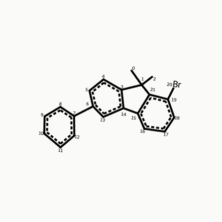 CC1(C)c2ccc(-c3ccccc3)cc2-c2cccc(Br)c21